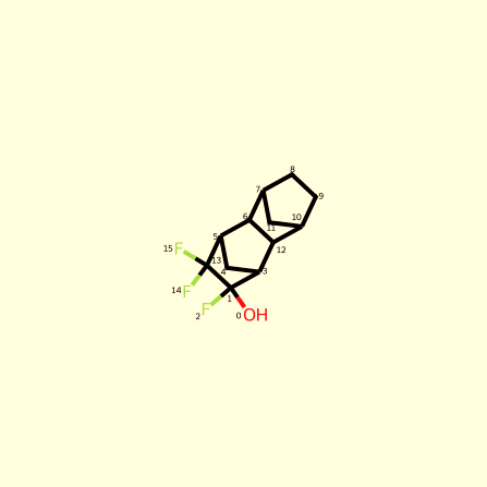 OC1(F)C2CC(C3C4CCC(C4)C32)C1(F)F